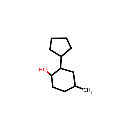 CC1CCC(O)C(C2CCCC2)C1